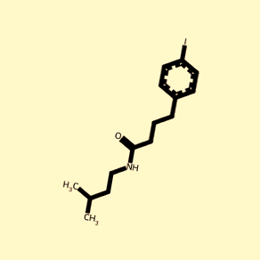 CC(C)CCNC(=O)CCCc1ccc(I)cc1